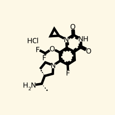 C[C@H](N)[C@@H]1CCN(c2c(F)cc3c(=O)[nH]c(=O)n(C4CC4)c3c2OC(F)F)C1.Cl